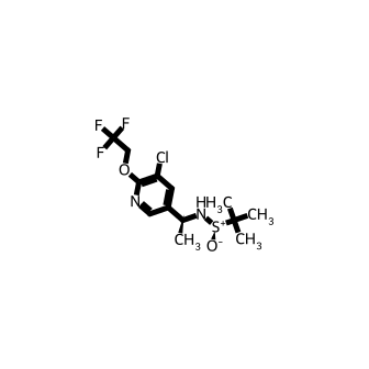 C[C@H](N[S@+]([O-])C(C)(C)C)c1cnc(OCC(F)(F)F)c(Cl)c1